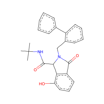 CC(C)(C)NC(=O)C1c2c(O)cccc2C(=O)N1Cc1ccccc1-c1ccccc1